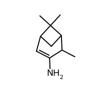 CC1C(N)=CC2CC1C2(C)C